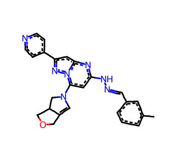 Cc1cccc(C=NNc2cc(N3C=C4COCC4C3)n3nc(-c4ccncc4)cc3n2)c1